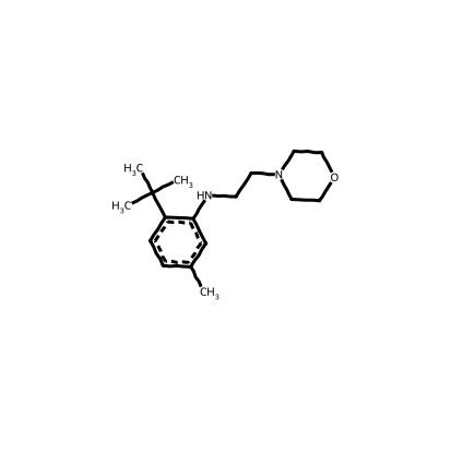 Cc1ccc(C(C)(C)C)c(NCCN2CCOCC2)c1